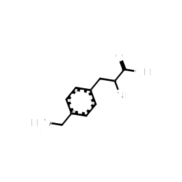 NCc1ccc(CC(N)C(=O)O)cc1